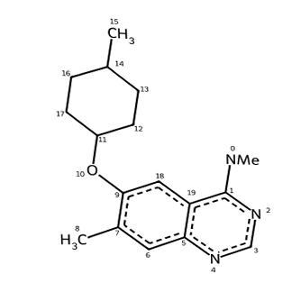 CNc1ncnc2cc(C)c(OC3CCC(C)CC3)cc12